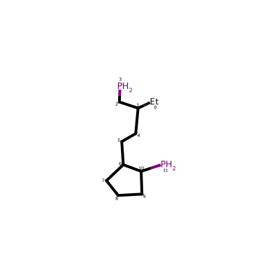 CCC(CP)CCC1CCCC1P